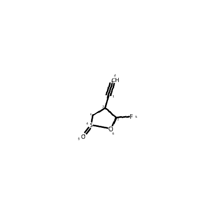 C#CC1CS(=O)OC1F